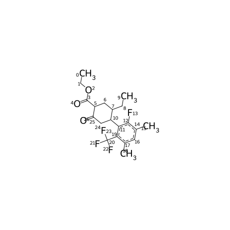 CCOC(=O)C1CC(CC)C(c2c(F)c(C)cc(C)c2C(F)(F)F)CC1=O